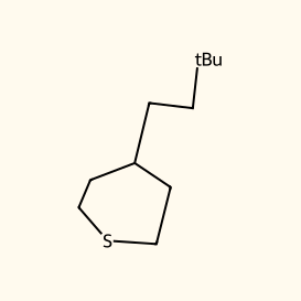 CC(C)(C)CCC1CCSCC1